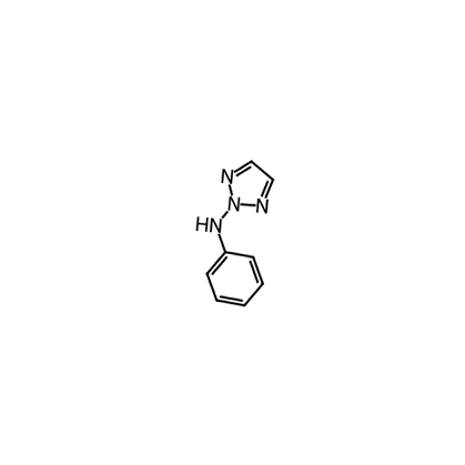 c1ccc(Nn2nccn2)cc1